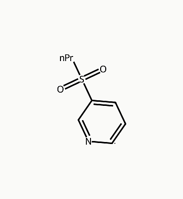 CCCS(=O)(=O)c1cc[c]nc1